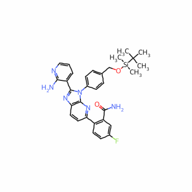 CC(C)(C)[Si](C)(C)OCc1ccc(-n2c(-c3cccnc3N)nc3ccc(-c4ccc(F)cc4C(N)=O)nc32)cc1